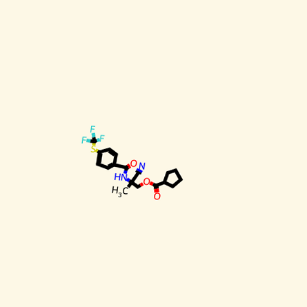 CC(C#N)(COC(=O)C1CCCC1)NC(=O)c1ccc(SC(F)(F)F)cc1